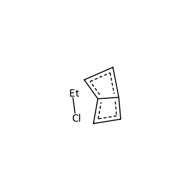 CCCl.c1cc2ccc1-2